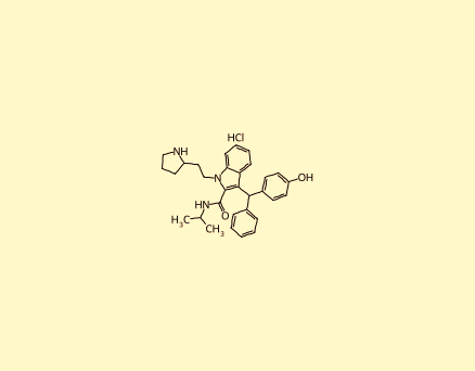 CC(C)NC(=O)c1c(C(c2ccccc2)c2ccc(O)cc2)c2ccccc2n1CCC1CCCN1.Cl